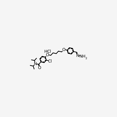 CC(C)N(C(=O)c1ccc(OCCCCCOc2ccc(C=NN)cc2)c(Cl)c1)C(C)C.Cl